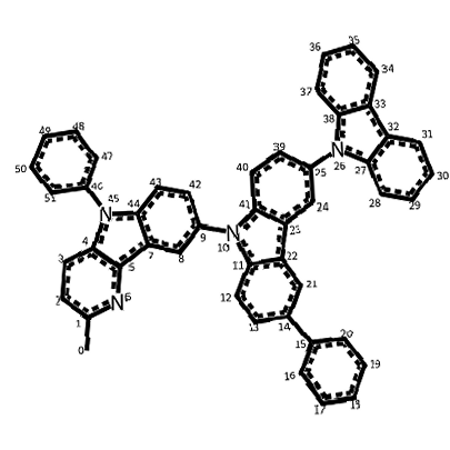 Cc1ccc2c(n1)c1cc(-n3c4ccc(-c5ccccc5)cc4c4cc(-n5c6ccccc6c6ccccc65)ccc43)ccc1n2-c1ccccc1